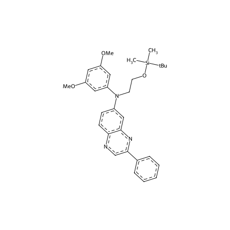 COc1cc(OC)cc(N(CCO[Si](C)(C)C(C)(C)C)c2ccc3ncc(-c4ccccc4)nc3c2)c1